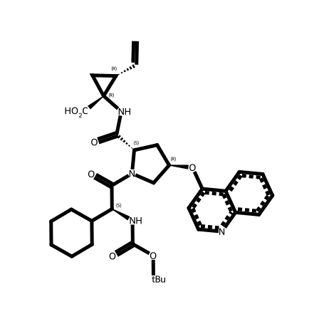 C=C[C@H]1C[C@]1(NC(=O)[C@@H]1C[C@@H](Oc2ccnc3ccccc23)CN1C(=O)[C@@H](NC(=O)OC(C)(C)C)C1CCCCC1)C(=O)O